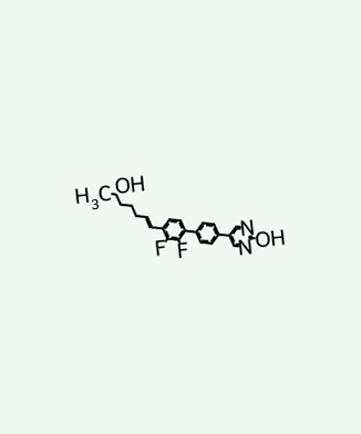 CC(O)CCC/C=C/c1ccc(-c2ccc(-c3cnc(O)nc3)cc2)c(F)c1F